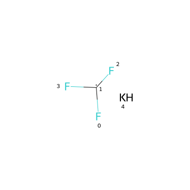 F[C](F)F.[KH]